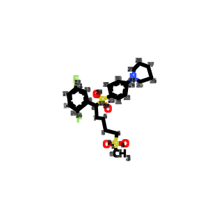 CS(=O)(=O)CCCCC(c1cc(F)ccc1F)S(=O)(=O)c1ccc(N2CCCCC2)cc1